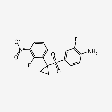 Nc1ccc(S(=O)(=O)C2(c3cccc([N+](=O)[O-])c3F)CC2)cc1F